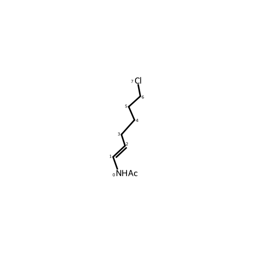 CC(=O)NC=CCCCCCl